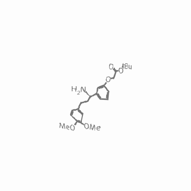 COc1ccc(CC[C@@H](N)c2cccc(OCC(=O)OC(C)(C)C)c2)cc1OC